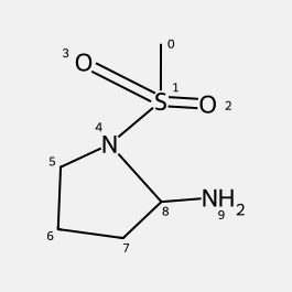 CS(=O)(=O)N1CCCC1N